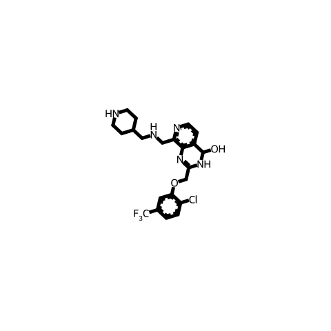 OC1NC(COc2cc(C(F)(F)F)ccc2Cl)=Nc2c1ccnc2CNCC1CCNCC1